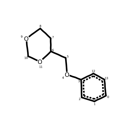 c1ccc(OCC2CCOCO2)cc1